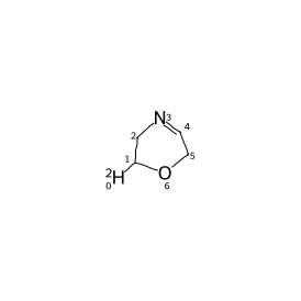 [2H]C1CN=CCO1